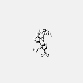 Cn1c([N+](=O)[O-])cnc1C1=CSNN1NC(C)(C)C